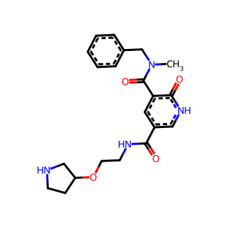 CN(Cc1ccccc1)C(=O)c1cc(C(=O)NCCOC2CCNC2)c[nH]c1=O